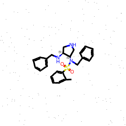 Cc1ccccc1S(=O)(=O)N(Cc1ccccc1)[C@H]1CNC[C@@H]1NCc1ccccc1